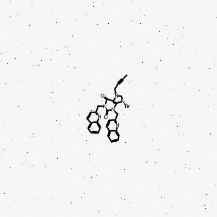 CC#CCN1CN(Br)c2c1c(=O)n(Cc1ccc3ccccc3n1)c(=O)n2Cc1ccc2ccccc2n1